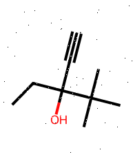 [C]#CC(O)(CC)C(C)(C)C